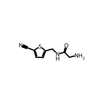 N#Cc1ccc(CNC(=O)CN)s1